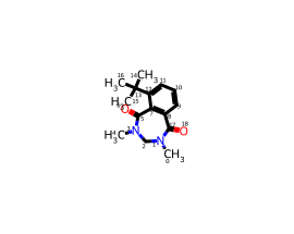 CN1CN(C)C(=O)c2c(cccc2C(C)(C)C)C1=O